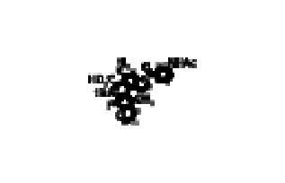 CC(=O)Nc1cccc(C(=O)N2CCc3c2cc(C)c([C@H](OC(C)(C)C)C(=O)O)c3-c2cc(F)c3c(c2C)CCCO3)c1